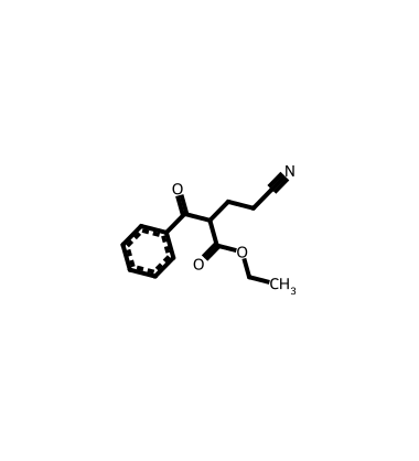 CCOC(=O)C(CCC#N)C(=O)c1ccccc1